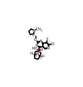 CN1CCC[C@H]1COc1nc(N2C[C@@H]3CC[C@@H](C2)N3C(=O)O)c2cnc(Cl)c(F)c2n1